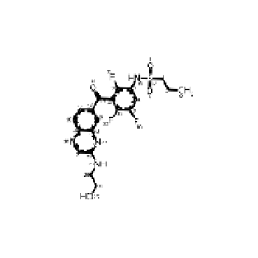 CCCS(=O)(=O)Nc1cc(F)c(F)c(C(=O)c2ccc3ncc(NCCO)nc3c2)c1F